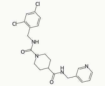 O=C(NCc1cccnc1)C1CCN(C(=O)NCc2ccc(Cl)cc2Cl)CC1